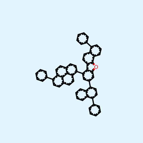 c1ccc(-c2ccc(-c3cc(-c4ccc5ccc6c(-c7ccccc7)ccc7ccc4c5c76)c4c(c3)oc3c5cccc(-c6ccccc6)c5ccc34)c3ccccc23)cc1